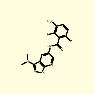 CN(C)c1n[nH]c2ncc(NC(=O)c3c(Cl)ccc(N)c3F)cc12